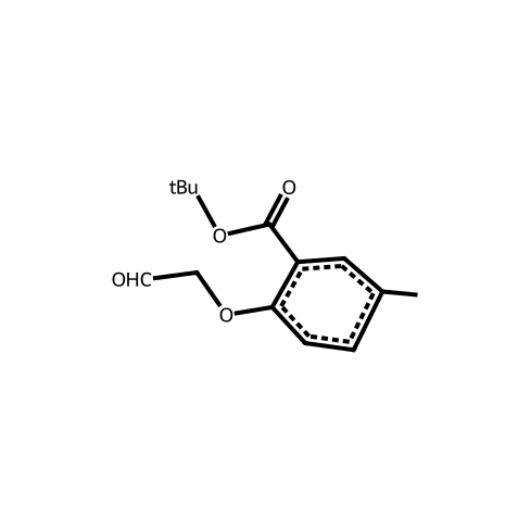 Cc1ccc(OCC=O)c(C(=O)OC(C)(C)C)c1